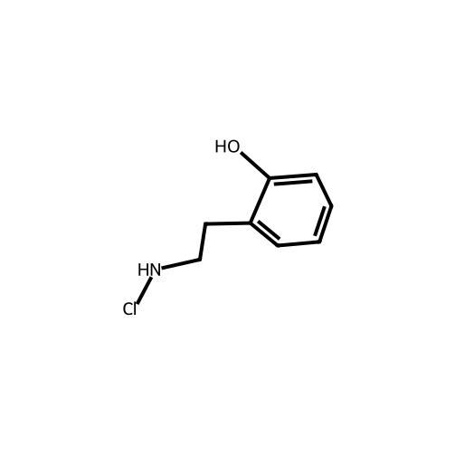 Oc1ccccc1CCNCl